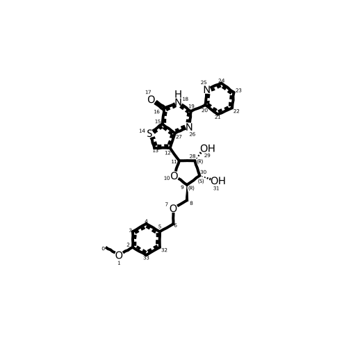 COc1ccc(COC[C@H]2OC(c3csc4c(=O)[nH]c(-c5ccccn5)nc34)[C@H](O)[C@@H]2O)cc1